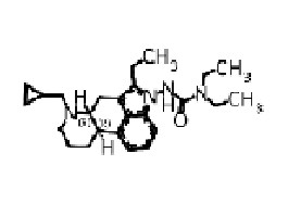 CCc1c2c3c(cccc3n1NC(=O)N(CC)CC)[C@H]1CCCN(CC3CC3)[C@@H]1C2